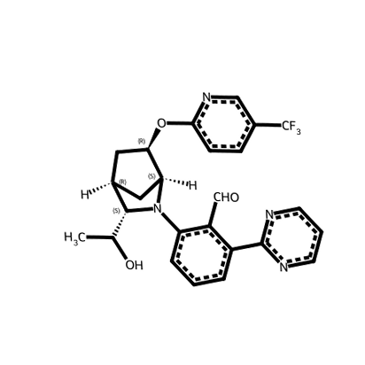 CC(O)[C@@H]1[C@H]2C[C@@H](Oc3ccc(C(F)(F)F)cn3)[C@H](C2)N1c1cccc(-c2ncccn2)c1C=O